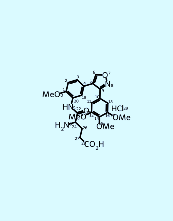 COc1ccc(-c2conc2-c2cc(OC)c(OC)c(OC)c2)cc1NC(=O)C(N)CCC(=O)O.Cl